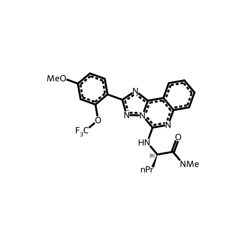 CCC[C@@H](Nc1nc2ccccc2c2nc(-c3ccc(OC)cc3OC(F)(F)F)nn12)C(=O)NC